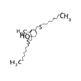 CCCCCCCCSCC1=CCC(O)(CSCCCCCCCC)C(C)=C1